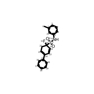 Cc1cccc(NS(=O)(=O)C2(F)C=CC(c3ccccc3)=CC2)c1